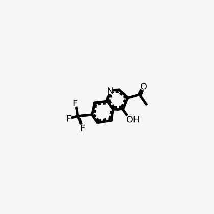 CC(=O)c1cnc2cc(C(F)(F)F)ccc2c1O